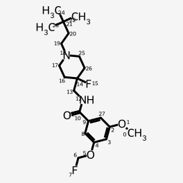 COc1cc(OCF)cc(C(=O)NCC2(F)CCN(CCC(C)(C)C)CC2)c1